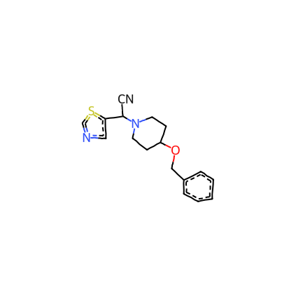 N#CC(c1cncs1)N1CCC(OCc2ccccc2)CC1